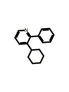 c1ccc(-c2ncccc2C2CCCCC2)cc1